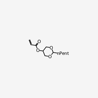 C=CC(=O)OC1COC(CCCCC)OC1